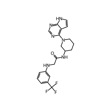 O=C(CNc1cccc(C(F)(F)F)c1)NC1CCCN(c2ncnc3[nH]ccc23)C1